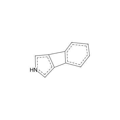 c1ccc2c(c1)-c1c[nH]cc1-2